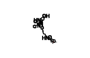 C[C@]12CC3CC(CC(=O)NCCCCC#Cc4cccc(Cn5c(-c6ccccc6)c(-c6ccccc6)c6c(=N)n(C7CCC(O)CC7)cnc65)c4)(C1)C[C@@](C)(C3)C2